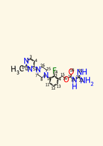 Cc1nccc(N2CCN(c3cccc(COC(=O)NC(=N)N)c3F)CC2)n1